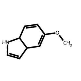 COC1=CC2C=CNC2C=C1